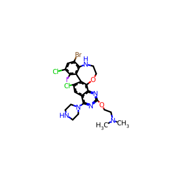 CN(C)CCOc1nc(N2CCNCC2)c2cc(Cl)c3c(c2n1)OCCNc1c(Br)cc(Cl)c(I)c1-3